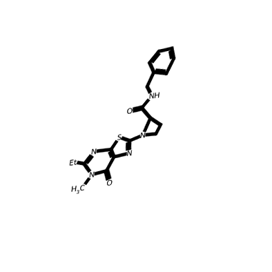 CCc1nc2sc(N3CCC3C(=O)NCc3ccccc3)nc2c(=O)n1C